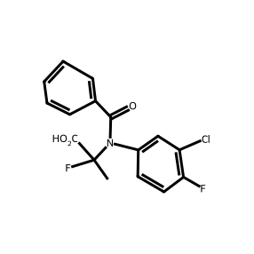 CC(F)(C(=O)O)N(C(=O)c1ccccc1)c1ccc(F)c(Cl)c1